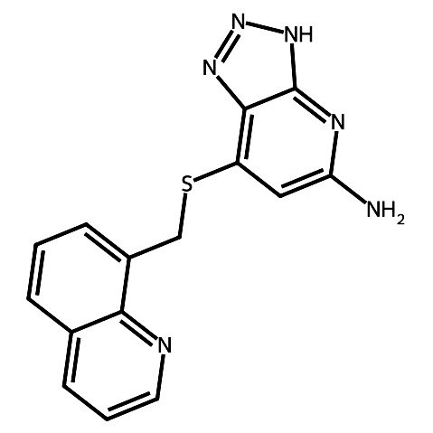 Nc1cc(SCc2cccc3cccnc23)c2nn[nH]c2n1